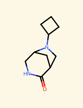 O=C1NCC2CC1CN2C1CCC1